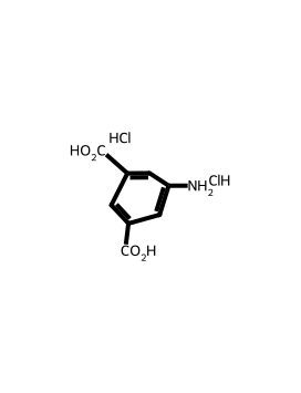 Cl.Cl.Nc1cc(C(=O)O)cc(C(=O)O)c1